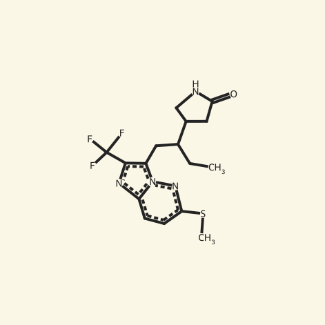 CCC(Cc1c(C(F)(F)F)nc2ccc(SC)nn12)C1CNC(=O)C1